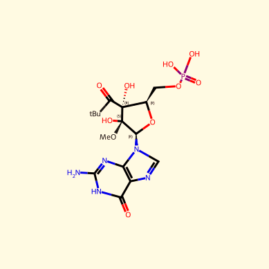 CO[C@]1(O)[C@H](n2cnc3c(=O)[nH]c(N)nc32)O[C@H](COP(=O)(O)O)[C@]1(O)C(=O)C(C)(C)C